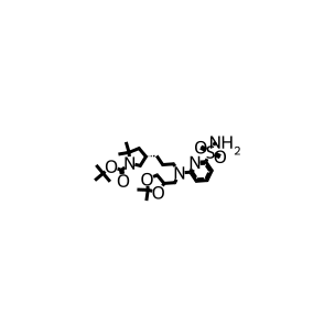 CC(C)(C)OC(=O)N1C[C@@H](CCCN(CC2COC(C)(C)O2)c2cccc(S(N)(=O)=O)n2)CC1(C)C